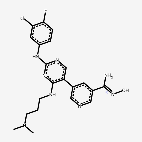 CN(C)CCCNc1nc(Nc2ccc(F)c(Cl)c2)ncc1-c1cncc(/C(N)=N/O)c1